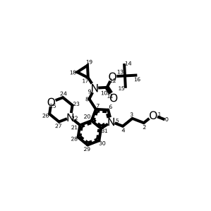 COCCCn1cc(CN(C(=O)OC(C)(C)C)C2CC2)c2c(N3CCOCC3)cccc21